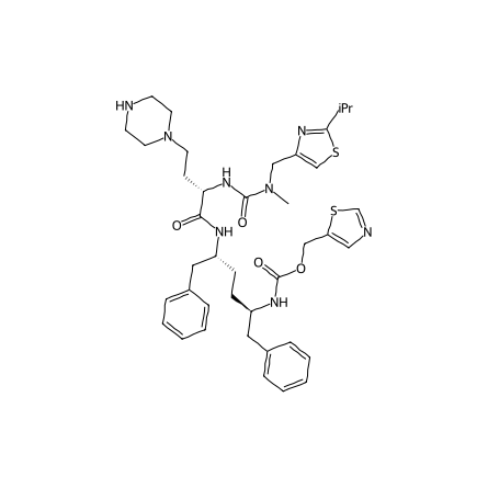 CC(C)c1nc(CN(C)C(=O)N[C@@H](CCN2CCNCC2)C(=O)N[C@H](CC[C@H](Cc2ccccc2)NC(=O)OCc2cncs2)Cc2ccccc2)cs1